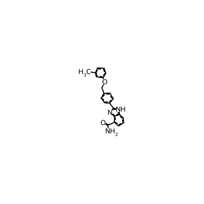 Cc1cccc(OCc2ccc(-c3nc4c(C(N)=O)cccc4[nH]3)cc2)c1